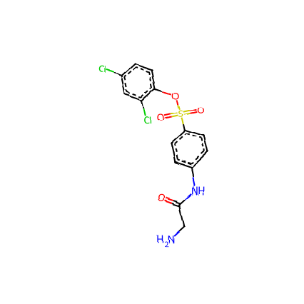 NCC(=O)Nc1ccc(S(=O)(=O)Oc2ccc(Cl)cc2Cl)cc1